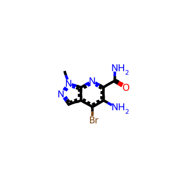 Cn1ncc2c(Br)c(N)c(C(N)=O)nc21